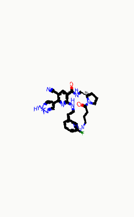 N#Cc1cc(C(=O)NC[C@H]2CCCN2C(=O)CCCN)c(NCCc2cccc(F)c2)nc1-c1cn[nH]c1